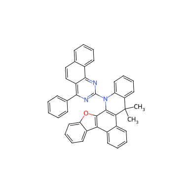 CC1(C)c2ccccc2N(c2nc(-c3ccccc3)c3ccc4ccccc4c3n2)c2c1c1ccccc1c1c2oc2ccccc21